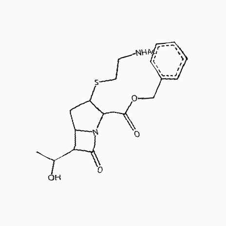 CC(=O)NCCSC1CC2C(C(C)O)C(=O)N2C1C(=O)OCc1ccccc1